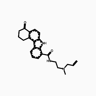 C=CCN(C)CCNC(=O)c1cccc2c1[nH]c1ccc3c(c12)CCCC3=O